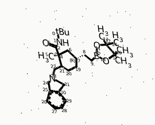 CC(C)(C)NC(=O)[C@@]1(C)C[C@H](CCB2OC(C)(C)C(C)(C)O2)CCC1CN1Cc2ccccc2C1